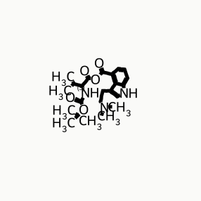 CC(C)[C@H](NC(=O)OC(C)(C)C)C(=O)OC(=O)c1cccc2[nH]cc(CCN(C)C)c12